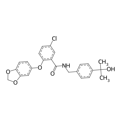 CC(C)(O)c1ccc(CNC(=O)c2cc(Cl)ccc2Oc2ccc3c(c2)OCO3)cc1